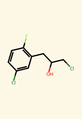 OC(CCl)Cc1cc(Cl)ccc1F